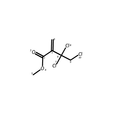 C=C(C(=O)OC)C(Cl)(Cl)CCl